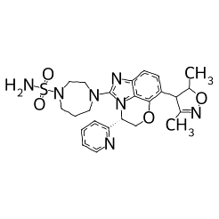 CC1=NOC(C)C1c1ccc2nc(N3CCCN(S(N)(=O)=O)CC3)n3c2c1OC[C@@H]3c1ccccn1